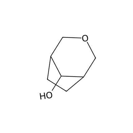 OC1C2CCC1COC2